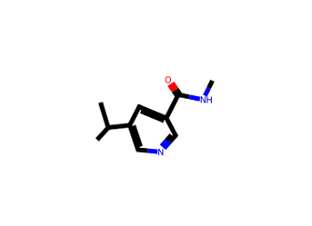 CNC(=O)c1cncc(C(C)C)c1